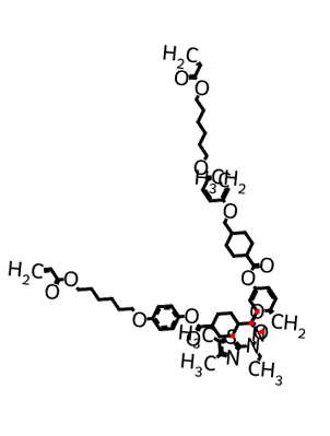 C=CC(=O)OCCCCCCOC(=C)/C=C\C(=C/C)OCC1CCC(C(=O)OC(/C=C\C(=C)OC(=O)C2CCC(C(=O)Oc3ccc(OCCCCCCOC(=O)C=C)cc3)CC2)=C/C/C=N/N(CC)c2nc(C)c(C)s2)CC1